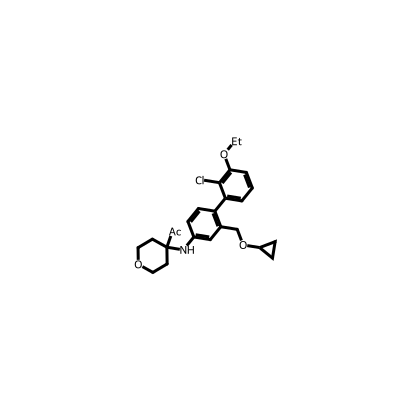 CCOc1cccc(-c2ccc(NC3(C(C)=O)CCOCC3)cc2COC2CC2)c1Cl